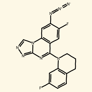 [N-]=[N+]=Nc1cc2c(cc1F)c(N1CCCc3ccc(F)cc31)nc1nncn12